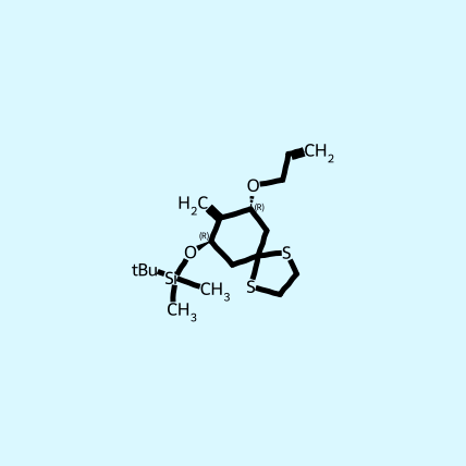 C=CCO[C@@H]1CC2(C[C@@H](O[Si](C)(C)C(C)(C)C)C1=C)SCCS2